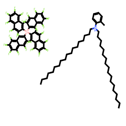 CCCCCCCCCCCCCCCCCC[NH+](CCCCCCCCCCCCCCCCCC)c1ccccc1C.Fc1c(F)c(F)c2c(F)c([B-](c3c(F)c(F)c4c(F)c(F)c(F)c(F)c4c3F)(c3c(F)c(F)c4c(F)c(F)c(F)c(F)c4c3F)c3c(F)c(F)c4c(F)c(F)c(F)c(F)c4c3F)c(F)c(F)c2c1F